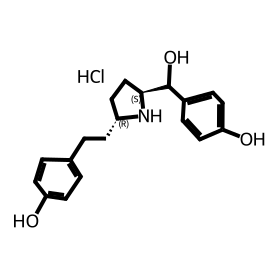 Cl.Oc1ccc(CC[C@@H]2CC[C@@H](C(O)c3ccc(O)cc3)N2)cc1